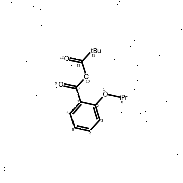 CC(C)Oc1ccccc1C(=O)OC(=O)C(C)(C)C